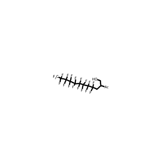 CC(=O)C(CO)CC(F)(F)C(F)(F)C(F)(F)C(F)(F)C(F)(F)C(F)(F)C(F)(F)C(F)(F)C(F)(F)F